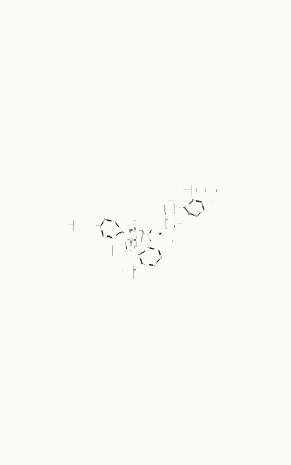 Cc1ccc(S(=O)(=O)N(CC(=O)NCc2cccc(C(=O)O)c2F)c2cccc(Cl)c2C)cc1